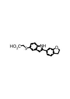 O=C(O)CSc1ccc2[nH]c(-c3ccc4c(c3)OCC4)cc2c1